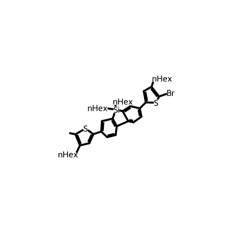 CCCCCCc1cc(-c2ccc3c(c2)[Si](CCCCCC)(CCCCCC)c2cc(-c4cc(CCCCCC)c(Br)s4)ccc2-3)sc1C